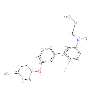 CN(CCC(=O)O)c1ccc(F)c(-c2cccc(OC3CCC(C(C)(C)C)CC3)c2)c1